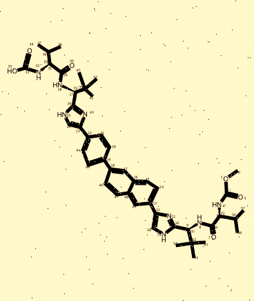 COC(=O)N[C@H](C(=O)N[C@H](c1nc(-c2ccc3cc(-c4ccc(-c5c[nH]c([C@@H](NC(=O)[C@@H](NC(=O)O)C(C)C)C(C)(C)C)n5)cc4)ccc3c2)c[nH]1)C(C)(C)C)C(C)C